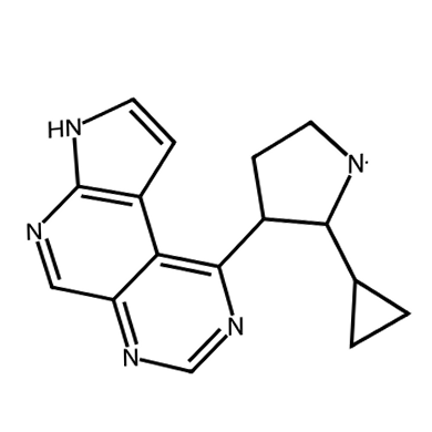 c1nc(C2CC[N]C2C2CC2)c2c(cnc3[nH]ccc32)n1